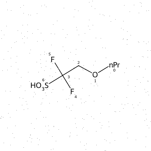 CCCOCC(F)(F)S(=O)(=O)O